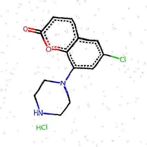 Cl.O=c1ccc2cc(Cl)cc(N3CCNCC3)c2o1